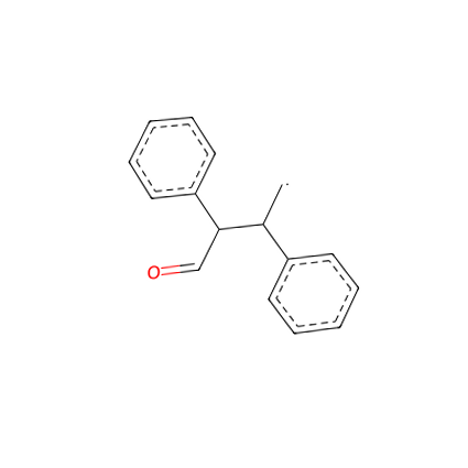 [CH2]C(c1ccccc1)C(C=O)c1ccccc1